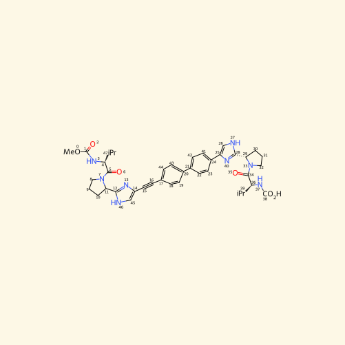 COC(=O)N[C@H](C(=O)N1CCCC1c1nc(C#Cc2ccc(-c3ccc(-c4c[nH]c([C@@H]5CCCN5C(=O)[C@@H](NC(=O)O)C(C)C)n4)cc3)cc2)c[nH]1)C(C)C